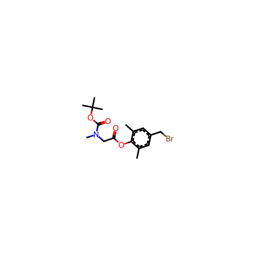 Cc1cc(CBr)cc(C)c1OC(=O)CN(C)C(=O)OC(C)(C)C